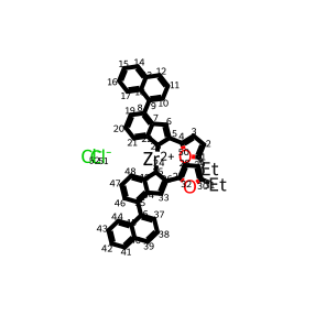 CCc1ccc(C2=Cc3c(-c4cccc5ccccc45)cccc3[CH]2[Zr+2][CH]2C(c3ccc(CC)o3)=Cc3c(-c4cccc5ccccc45)cccc32)o1.[Cl-].[Cl-]